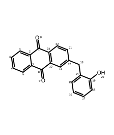 O=C1c2ccccc2C(=O)c2cc(Cc3ccccc3O)ccc21